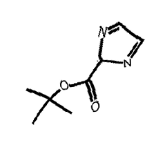 CC(C)(C)OC(=O)[C]1N=CC=N1